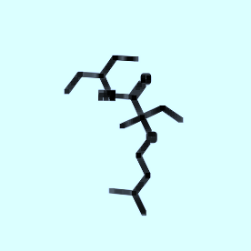 CCC(CC)NC(=O)C(C)(CC)OCCC(C)C